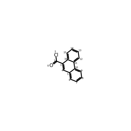 O=C(Cl)c1cc2ccccc2c2ccccc12